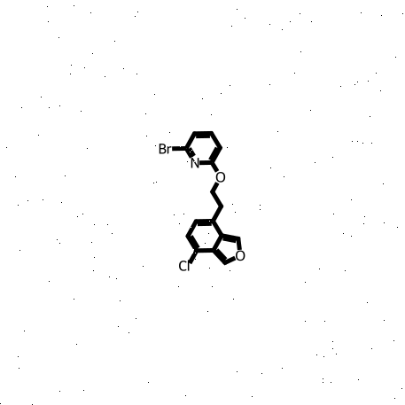 Clc1ccc(CCOc2cccc(Br)n2)c2cocc12